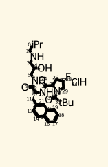 CC(C)CNCC(O)CNC(=O)[C@@H](Cc1ccc2ccccc2c1)NC(=O)C1C[C@H](F)CN1C(=O)C(C)(C)C.Cl